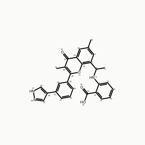 Cc1cc(C(C)Nc2ccccc2C(=O)O)c2oc(-c3cccc(-c4cn[nH]c4)c3)c(C)c(=O)c2c1